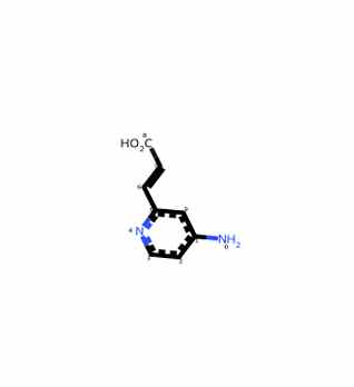 Nc1ccnc(C=CC(=O)O)c1